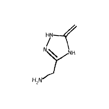 C=C1NN=C(CN)N1